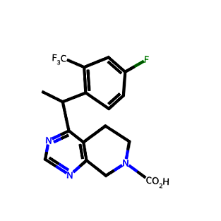 CC(c1ccc(F)cc1C(F)(F)F)c1ncnc2c1CCN(C(=O)O)C2